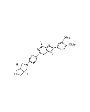 COc1ccc(-c2nc3c(C)nc(-c4ccc(N5C[C@H]6CNC[C@H]6C5)cc4)cc3n2C)cc1OC